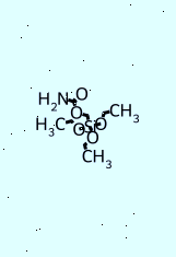 CCO[Si](COC(N)=O)(OCC)OCC